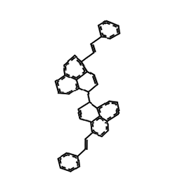 C(=Cc1ccc2cccc3c2c1C=CC3C1C=Cc2c(C=Cc3ccccc3)ccc3cccc1c23)c1ccccc1